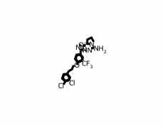 N=C(N)N1CCC[C@H]1c1nc(-c2ccc(OCCCc3ccc(Cl)c(Cl)c3)c(C(F)(F)F)c2)no1